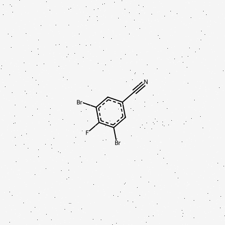 N#Cc1cc(Br)c(F)c(Br)c1